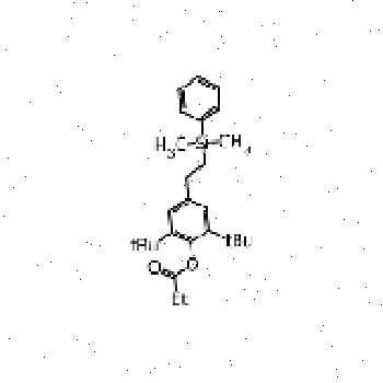 CCC(=O)Oc1c(C(C)(C)C)cc(CC[Si](C)(C)c2ccccc2)cc1C(C)(C)C